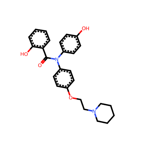 O=C(c1ccccc1O)N(c1ccc(O)cc1)c1ccc(OCCN2CCCCC2)cc1